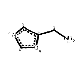 NCc1cnco1